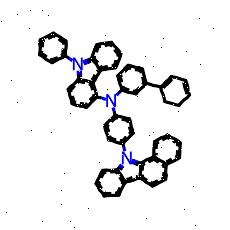 C1=CCCC(c2cccc(N(c3ccc(-n4c5ccccc5c5ccc6ccccc6c54)cc3)c3cccc4c3c3ccccc3n4-c3ccccc3)c2)=C1